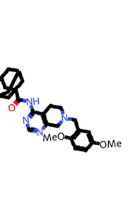 COc1ccc(OC)c(CN2CCc3c(ncnc3NC(=O)C34CC5CC(CC(C5)C3)C4)C2)c1